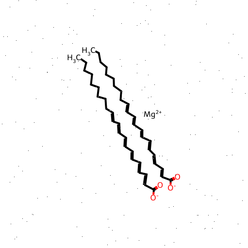 CCCCCCCCCC=CC=CC=CC=CC=CC=CC(=O)[O-].CCCCCCCCCC=CC=CC=CC=CC=CC=CC(=O)[O-].[Mg+2]